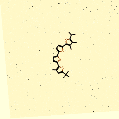 Cc1cc(C(C)(C)C)sc1-c1ccc(-c2ccc(-c3sc(C(C)C)c(C)c3C)s2)s1